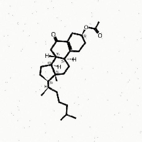 CC(=O)O[C@H]1CCC2=C(C1)C(=O)C[C@@H]1[C@@H]2CC[C@]2(C)[C@@H]([C@H](C)CCCC(C)C)CC[C@@H]12